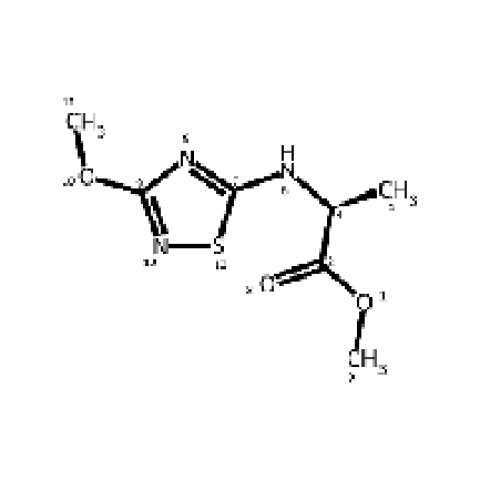 COC(=O)[C@H](C)Nc1nc(OC)ns1